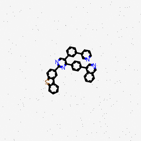 c1cncc(-c2cccc(-c3cnc(-c4ccc5sc6ccccc6c5c4)nc3-c3ccc(-c4cncc5ccccc45)cc3)c2)c1